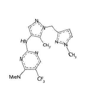 CNc1nc(Nc2cnn(Cc3ccn(C)n3)c2C)ncc1C(F)(F)F